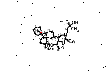 COc1ccc(CN2C3CC2CN(c2ccc(C4=CN(CCC(C)(C)O)C(=C=O)n5ncc(C#N)c54)cn2)C3)cn1